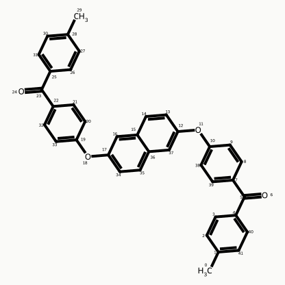 Cc1ccc(C(=O)c2ccc(Oc3ccc4cc(Oc5ccc(C(=O)c6ccc(C)cc6)cc5)ccc4c3)cc2)cc1